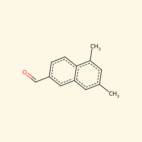 Cc1cc(C)c2ccc(C=O)cc2c1